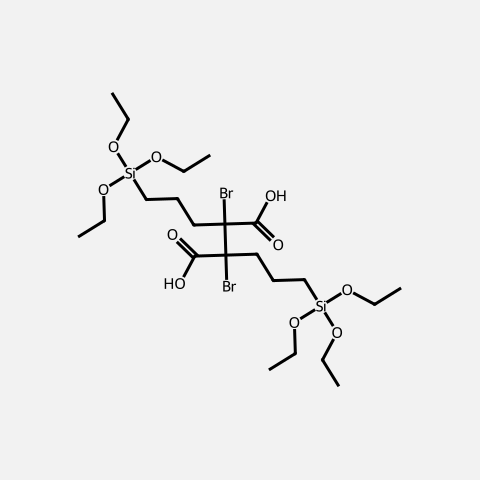 CCO[Si](CCCC(Br)(C(=O)O)C(Br)(CCC[Si](OCC)(OCC)OCC)C(=O)O)(OCC)OCC